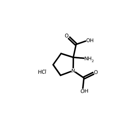 Cl.NC1(C(=O)O)CCCN1C(=O)O